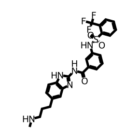 CNCCCc1ccc2[nH]c(NC(=O)c3cccc(NS(=O)(=O)c4ccccc4C(F)(F)F)c3)nc2c1